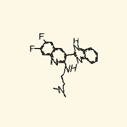 CN(C)CCNc1nc2cc(F)c(F)cc2cc1-c1nc2ccccc2[nH]1